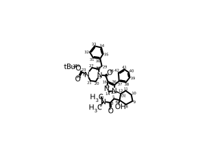 CN(C)C(=O)CC1(O)CCCC[C@@H]1n1cnc(C(=O)N2CCN(C(=O)OC(C)(C)C)C[C@H]2Cc2ccccc2)c1-c1ccccc1